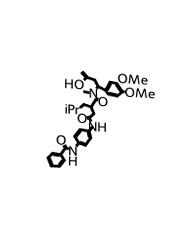 C=C(O)CC(c1ccc(OC)c(OC)c1)N(C)C(=O)C(CC(=O)Nc1ccc(NC(=O)c2ccccc2)cc1)CC(C)C